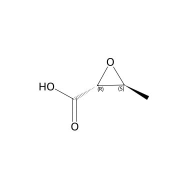 C[C@@H]1O[C@H]1C(=O)O